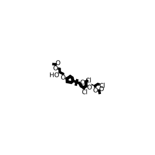 CC(=O)OC[C@@H](O)COc1ccc(C(C)(C)c2cc(Cl)c(OC[C@@H](CCl)OC(C)=O)c(Cl)c2)cc1